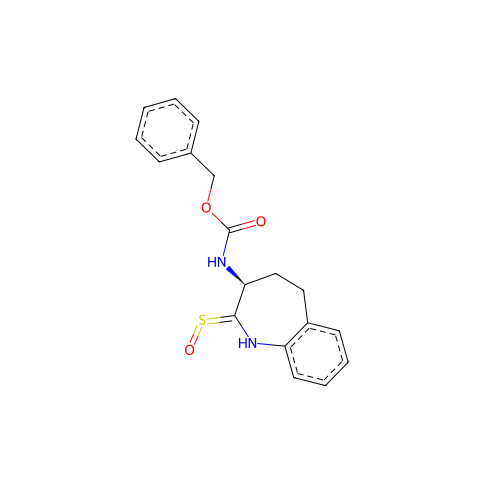 O=S=C1Nc2ccccc2CC[C@@H]1NC(=O)OCc1ccccc1